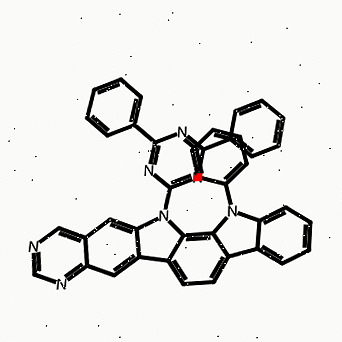 c1ccc(-c2nc(-c3ccccc3)nc(-n3c4cc5cncnc5cc4c4ccc5c6ccccc6n(-c6ccccc6)c5c43)n2)cc1